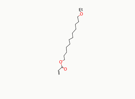 C=CC(=O)OCCCCCCCCCCCCOCC